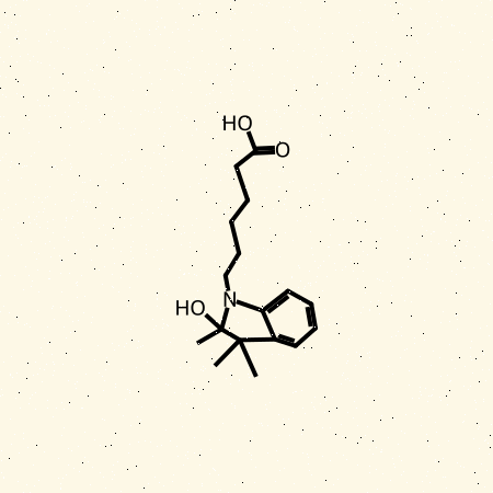 CC1(C)c2ccccc2N(CCCCCC(=O)O)C1(C)O